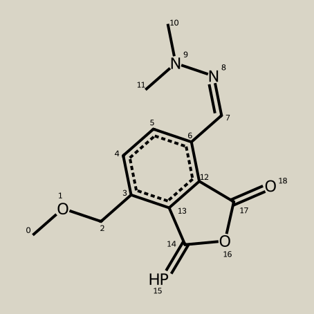 COCc1ccc(/C=N\N(C)C)c2c1C(=P)OC2=O